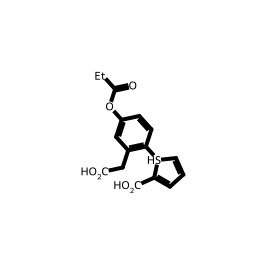 CCC(=O)Oc1ccc([SH]2C=CC=C2C(=O)O)c(CC(=O)O)c1